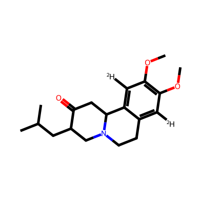 [2H]c1c2c(c([2H])c(OC)c1OC)C1CC(=O)C(CC(C)C)CN1CC2